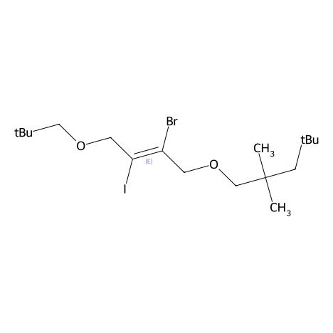 CC(C)(C)COC/C(I)=C(\Br)COCC(C)(C)CC(C)(C)C